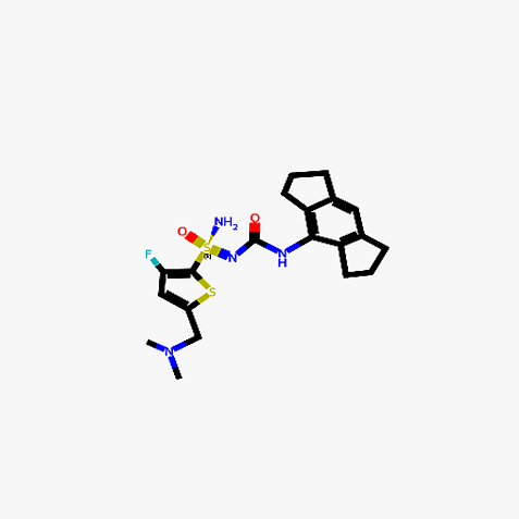 CN(C)Cc1cc(F)c([S@](N)(=O)=NC(=O)Nc2c3c(cc4c2CCC4)CCC3)s1